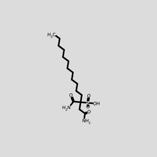 CCCCCCCCCCCCC(CC(N)=O)(C(N)=O)S(=O)(=O)O